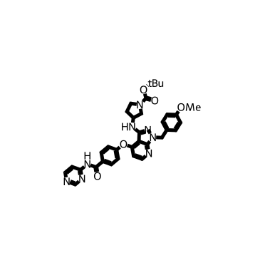 COc1ccc(Cn2nc(NC3CCN(C(=O)OC(C)(C)C)C3)c3c(Oc4ccc(C(=O)Nc5ccncn5)cc4)ccnc32)cc1